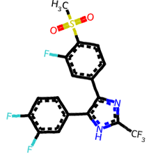 CS(=O)(=O)c1ccc(-c2nc(C(F)(F)F)[nH]c2-c2ccc(F)c(F)c2)cc1F